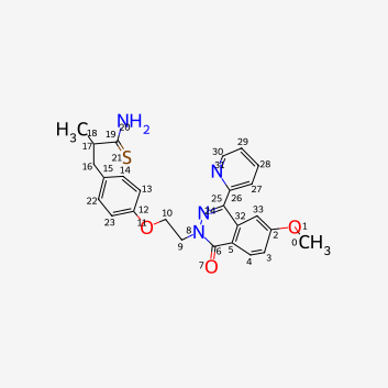 COc1ccc2c(=O)n(CCOc3ccc(CC(C)C(N)=S)cc3)nc(-c3ccccn3)c2c1